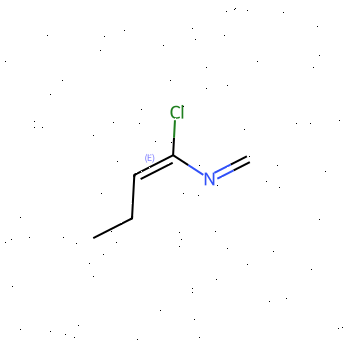 C=N/C(Cl)=C\CC